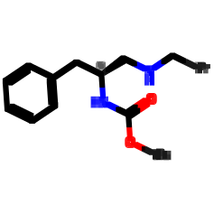 CC(C)CNC[C@H](Cc1ccccc1)NC(=O)OC(C)(C)C